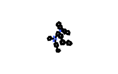 C1=Cc2cc3c(cc2CC1)c1cc2ccccc2cc1n3-c1ccc(-c2nc(-c3ccccc3)nc(-c3ccc(-c4ccccc4)cc3)n2)c2cc(-c3cccc(-c4ccccc4)c3)ccc12